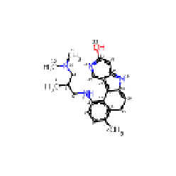 Cc1ccc(NC[C@@H](C)CN(C)C)c2c1CC=C1N=c3cc(O)ncc3=C12